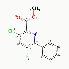 COC(=O)c1nc(-c2ccccc2)c(F)cc1Cl